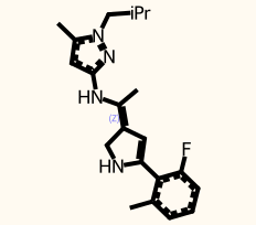 C/C(Nc1cc(C)n(CC(C)C)n1)=C1\C=C(c2c(C)cccc2F)NC1